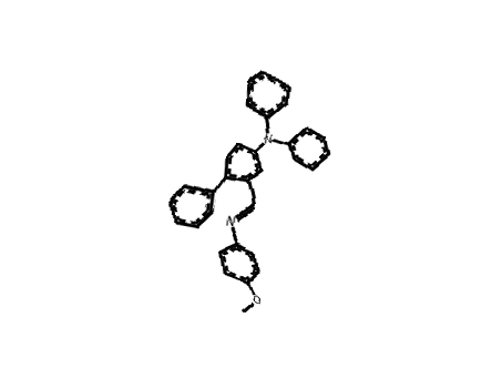 COc1ccc(N=Cc2cc(N(c3ccccc3)c3ccccc3)ccc2-c2ccccc2)cc1